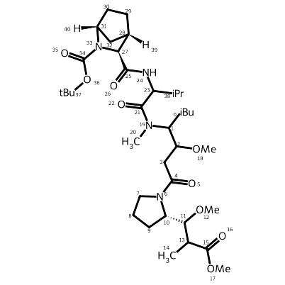 CCC(C)C(C(CC(=O)N1CCC[C@H]1C(OC)C(C)C(=O)OC)OC)N(C)C(=O)C(NC(=O)[C@@H]1[C@H]2CC[C@H](C2)N1C(=O)OC(C)(C)C)C(C)C